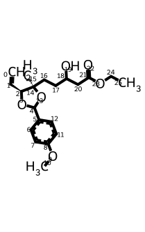 C=C[C@@H]1OC(c2ccc(OC)cc2)O[C@]1(C)CCC(O)CC(=O)OCC